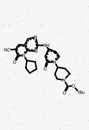 CC(C)(C)OC(=O)N1CCC(n2ccc(Nc3ncc4cc(C#N)c(=O)n(C5CCCC5)c4n3)cc2=O)CC1